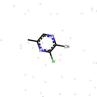 Cc1cnc(C#N)c(Br)n1